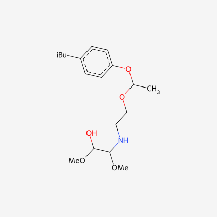 CCC(C)c1ccc(OC(C)OCCNC(OC)C(O)OC)cc1